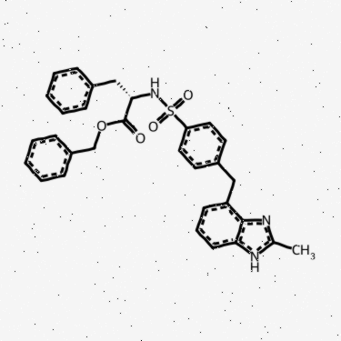 Cc1nc2c(Cc3ccc(S(=O)(=O)N[C@@H](Cc4ccccc4)C(=O)OCc4ccccc4)cc3)cccc2[nH]1